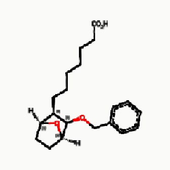 O=C(O)CCCCCC[C@H]1[C@@H](OCc2ccccc2)[C@H]2CC[C@@H]1O2